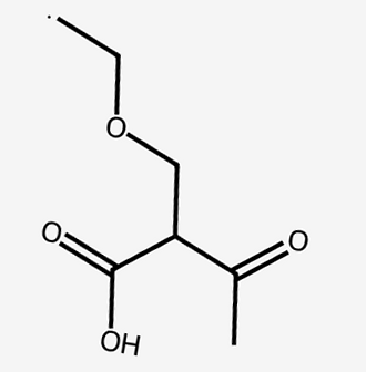 [CH2]COCC(C(C)=O)C(=O)O